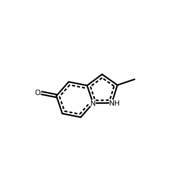 Cc1cc2cc(=O)ccn2[nH]1